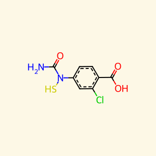 NC(=O)N(S)c1ccc(C(=O)O)c(Cl)c1